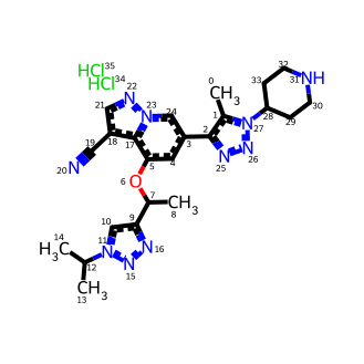 Cc1c(-c2cc(OC(C)c3cn(C(C)C)nn3)c3c(C#N)cnn3c2)nnn1C1CCNCC1.Cl.Cl